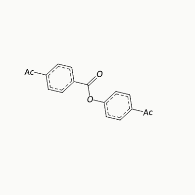 CC(=O)c1ccc(OC(=O)c2ccc(C(C)=O)cc2)cc1